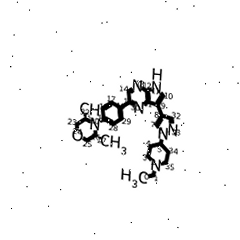 CCN1CCC(n2cc(-c3c[nH]c4ncc(-c5ccc(N6[C@H](C)COC[C@H]6C)cc5)nc34)cn2)CC1